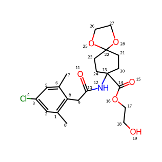 Cc1cc(Cl)cc(C)c1CC(=O)NC1(C(=O)OCCO)CCC2(CC1)OCCO2